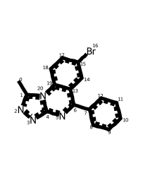 Cc1nnc2nc(-c3ccccc3)c3cc(Br)ccc3n12